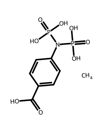 C.O=C(O)c1ccc(N(P(=O)(O)O)P(=O)(O)O)cc1